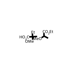 CCC(C)(OC)C(=O)O.CCOC(=O)C(C)OC